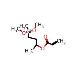 C=CC(=O)OC(C)CC[Si](C)(OC)OC